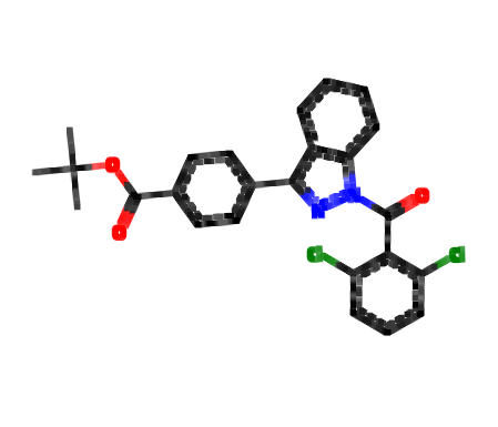 CC(C)(C)OC(=O)c1ccc(-c2nn(C(=O)c3c(Cl)cccc3Cl)c3ccccc23)cc1